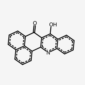 O=C1c2c(nc3ccccc3c2O)-c2cccc3cccc1c23